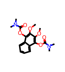 COc1c(OC)c(OC(=O)N(C)C)c2ccccc2c1OC(=O)N(C)C